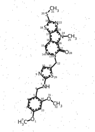 COc1ccc(CNc2ncc(Cn3ncc4c5sc(SC)nc5n(C)c4c3=O)s2)c(OC)c1